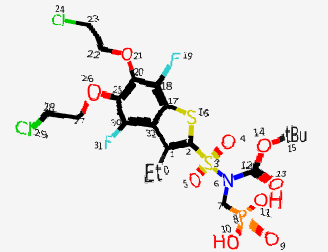 CCc1c(S(=O)(=O)N(CP(=O)(O)O)C(=O)OC(C)(C)C)sc2c(F)c(OCCCl)c(OCCCl)c(F)c12